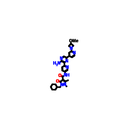 COC1CN(c2cc(-c3cnc(N)c(-c4ccc(NC(=O)c5c(C)n(C)n(CC6CCCCC6)c5=O)cn4)n3)ccn2)C1